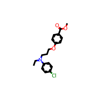 CCN(CCCOc1ccc(C(=O)OC)cc1)c1ccc(Cl)cc1